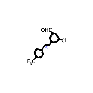 O=Cc1cc(Cl)cc(/C=C/c2ccc(C(F)(F)F)cc2)c1